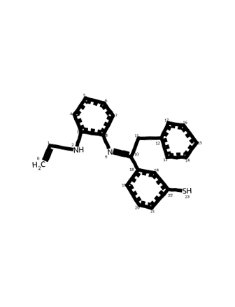 C=CNc1ccccc1/N=C(\Cc1ccccc1)c1cccc(S)c1